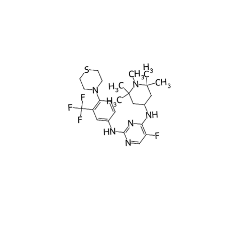 CN1C(C)(C)CC(Nc2nc(Nc3ccc(N4CCSCC4)c(C(F)(F)F)c3)ncc2F)CC1(C)C